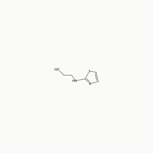 OCCNc1nccs1